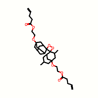 C=CCCC(=O)OCCOC12CC(C)CC(C1)C1(OOC13C1CC4CC3CC(OCCOC(=O)CCC=C)(C4)C1)C(C)C2